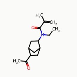 C=C(C)C(=O)N(CC)C1CC2CC1CC2C(C)=O